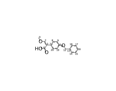 COC=C(C(=O)O)c1ccc(OCc2ccccc2)cc1